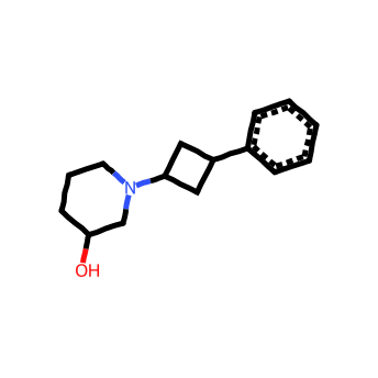 OC1CCCN(C2CC(c3ccccc3)C2)C1